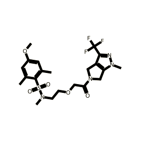 COc1cc(C)c(S(=O)(=O)N(C)CCOCC(=O)N2Cc3c(C(F)(F)F)nn(C)c3C2)c(C)c1